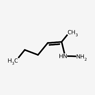 CCC/C=C(/C)NN